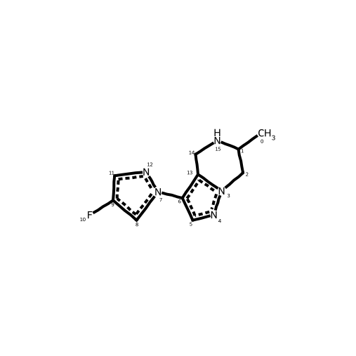 CC1Cn2ncc(-n3cc(F)cn3)c2CN1